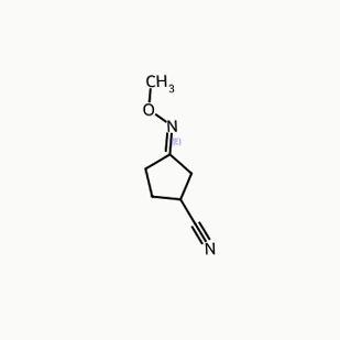 CO/N=C1\CCC(C#N)C1